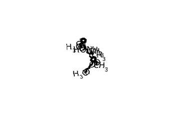 COCCCOc1cc(C[C@@H](C[C@H](N)[C@@H](O)CN(c2ccccc2)S(C)(=O)=O)C(C)C)ccc1OC